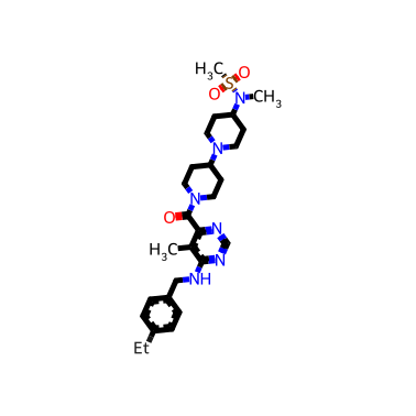 CCc1ccc(CNc2ncnc(C(=O)N3CCC(N4CCC(N(C)S(C)(=O)=O)CC4)CC3)c2C)cc1